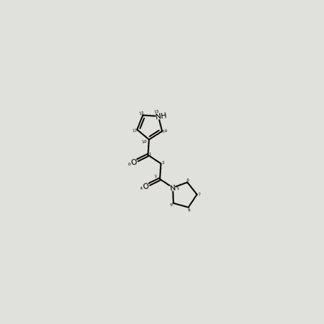 O=C(CC(=O)N1CCCC1)c1cc[nH]c1